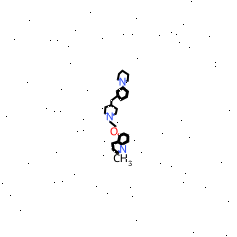 Cc1ccc2c(OCCN3CCC(Cc4cccc(N5CCCCC5)c4)CC3)cccc2n1